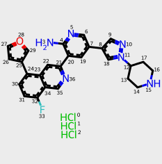 Cl.Cl.Cl.Nc1ncc(-c2cnn(C3CCNCC3)c2)cc1-c1cc2c(-c3ccoc3)ccc(F)c2cn1